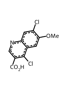 COc1cc2c(Cl)c(C(=O)O)cnc2cc1Cl